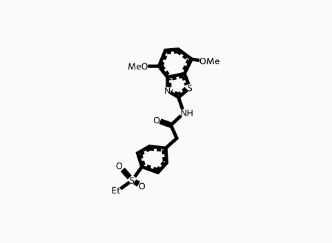 CCS(=O)(=O)c1ccc(CC(=O)Nc2nc3c(OC)ccc(OC)c3s2)cc1